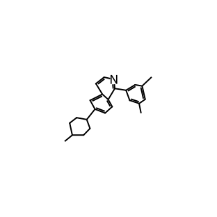 Cc1cc(C)cc(-c2nccc3cc(C4CCC(C)CC4)ccc23)c1